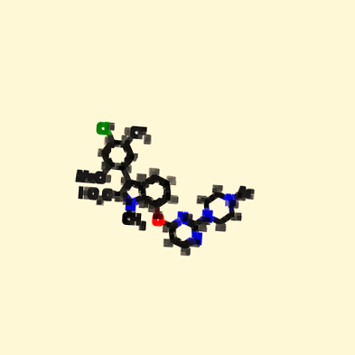 COc1cc(Cl)c(C(F)(F)F)cc1-c1c(C(=O)O)n(C)c2c(Oc3ccnc(N4CCN(C(C)=O)CC4)n3)cccc12